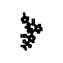 Cc1ccc([C@H](Nc2nsnc2Nc2csc(S(=O)(=O)N(C)C)c2O)C(C)(C)C)s1